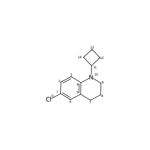 Clc1ccc2c(c1)CCCN2C1C[CH]C1